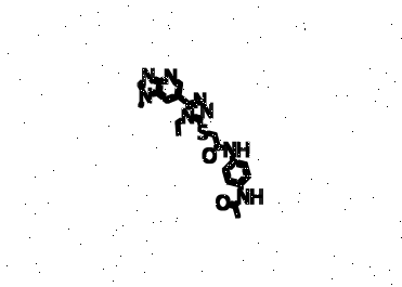 CCn1c(SCC(=O)Nc2ccc(NC(C)=O)cc2)nnc1-c1cnc2ncn(C)c2c1